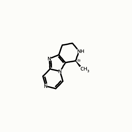 C[C@@H]1NCCc2nc3cnccn3c21